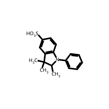 CC1N(c2ccccc2)c2ccc(S(=O)(=O)O)cc2C1(C)C